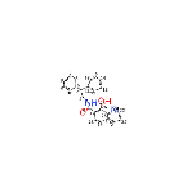 O=C(NCC(c1ccccc1)c1ccccc1)c1ccc2cccnc2c1O